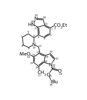 CCOC(=O)c1ccc(C2CCCCN2Cc2c(OC)cc(C)c3c2ccn3C(=O)OC(C)(C)C)c2[nH]ncc12